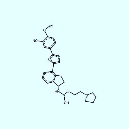 CC(C)Oc1ccc(-c2ncc(-c3cccc4c3CCC4NN(O)SCCN3CCCC3)s2)cc1C#N